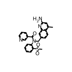 Cc1cc(N)nc2cc(CN(C(=O)c3cccnc3)c3ccccc3S(C)(=O)=O)ccc12